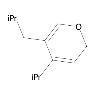 CC(C)CC1=COCC=C1C(C)C